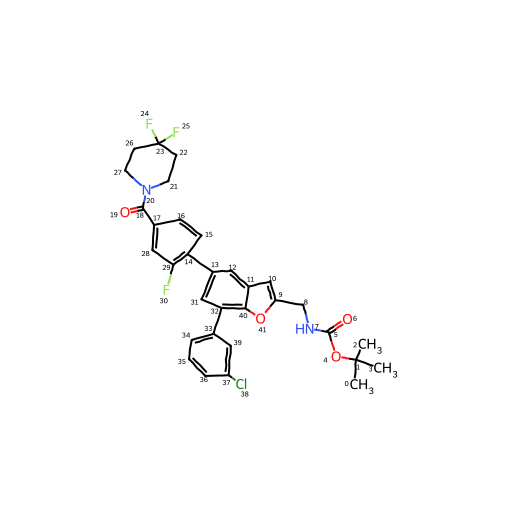 CC(C)(C)OC(=O)NCc1cc2cc(-c3ccc(C(=O)N4CCC(F)(F)CC4)cc3F)cc(-c3cccc(Cl)c3)c2o1